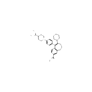 COC(=O)c1ccc2c(c1)CCCC(C1CCCCC1)=C2c1ccc(N2CCC(C(OC)OC)CC2)cc1